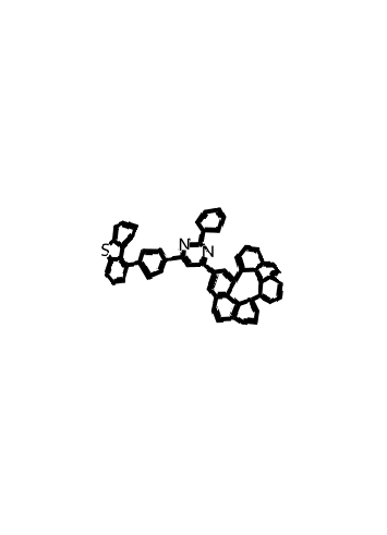 c1ccc(-c2nc(-c3ccc(-c4cccc5sc6ccccc6c45)cc3)cc(-c3cc4ccc5cccc6c7cccc8ccc9cccc(c(c3)c4c56)c9c87)n2)cc1